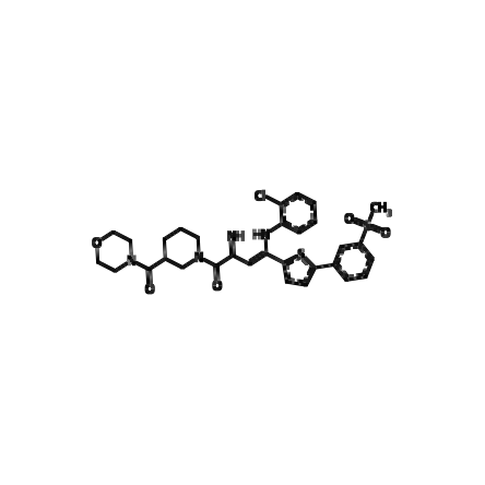 CS(=O)(=O)c1cccc(-c2ccc(/C(=C/C(=N)C(=O)N3CCCC(C(=O)N4CCOCC4)C3)Nc3ccccc3Cl)s2)c1